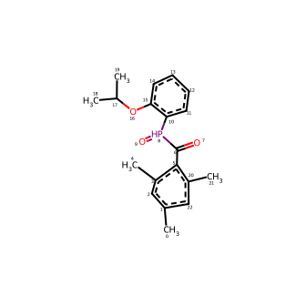 Cc1cc(C)c(C(=O)[PH](=O)c2ccccc2OC(C)C)c(C)c1